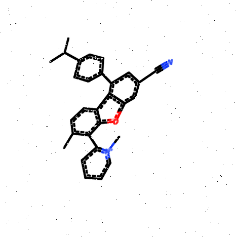 Cc1ccc2c(oc3cc(C#N)cc(-c4ccc(C(C)C)cc4)c32)c1-c1cccc[n+]1C